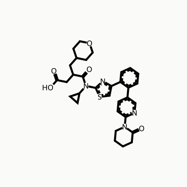 O=C(O)CC(CC1CCOCC1)C(=O)N(c1nc(-c2ccccc2-c2ccc(N3CCCCC3=O)nc2)cs1)C1CC1